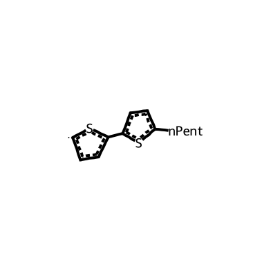 CCCCCc1ccc(-c2cc[c]s2)s1